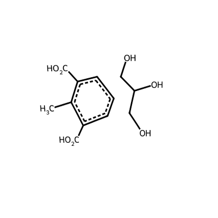 Cc1c(C(=O)O)cccc1C(=O)O.OCC(O)CO